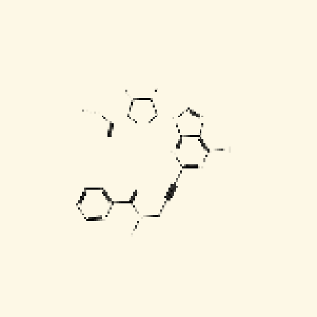 CNC(=O)[C@H]1O[C@@H](n2cnc3c(N)nc(C#CCN(C(=O)c4ccccc4)C(C)C)nc32)[C@H](O)[C@@H]1O